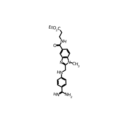 CCOC(=O)CCNC(=O)c1ccc2c(c1)nc(CNc1ccc(C(=N)N)cc1)n2C